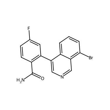 NC(=O)c1ccc(F)cc1-c1cncc2c(Br)cccc12